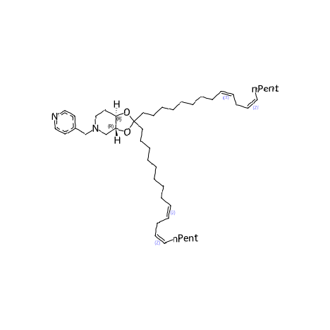 CCCCC/C=C\C/C=C\CCCCCCCCC1(CCCCCCCC/C=C\C/C=C\CCCCC)O[C@@H]2CCN(Cc3ccncc3)C[C@H]2O1